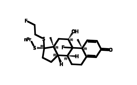 CCCS[C@@]1(SCCF)CC[C@H]2[C@@H]3CCC4=CC(=O)C=C[C@]4(C)C3(F)[C@@H](O)C[C@@]21C